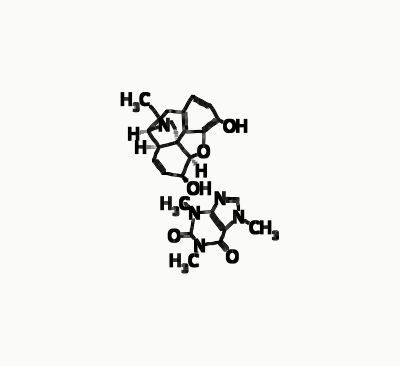 CN1CC[C@]23c4c5ccc(O)c4O[C@H]2[C@@H](O)C=C[C@H]3[C@H]1C5.Cn1c(=O)c2c(ncn2C)n(C)c1=O